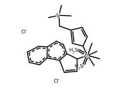 C[Si](C)(C)CC1=C[CH]([Zr]([CH3])([CH3])([CH3])([CH3])(=[SiH2])(=[SiH2])[CH]2C=Cc3c2ccc2ccccc32)C=C1.[Cl-].[Cl-]